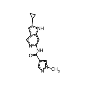 Cn1cc(C(=O)Nc2cc3[nH]c(C4CC4)cc3cn2)cn1